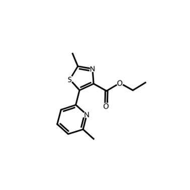 CCOC(=O)c1nc(C)sc1-c1cccc(C)n1